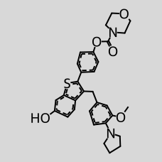 COc1cc(Cc2c(-c3ccc(OC(=O)N4CCOCC4)cc3)sc3cc(O)ccc23)ccc1N1CCCC1